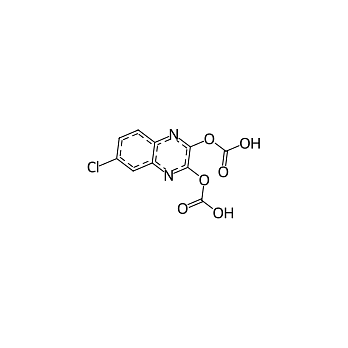 O=C(O)Oc1nc2ccc(Cl)cc2nc1OC(=O)O